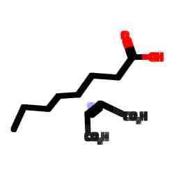 CCCCCCCC(=O)O.O=C(O)/C=C\C(=O)O